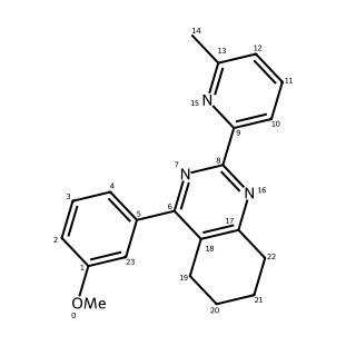 COc1cccc(-c2nc(-c3cccc(C)n3)nc3c2CCCC3)c1